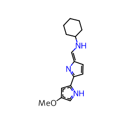 COc1c[nH]c(C2=NC(=CNC3CCCCC3)C=C2)c1